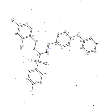 Cc1ccc(S(=O)(=O)N(CCc2ccc(Br)cc2Br)/N=C/c2ccc(Oc3ccccc3)cc2)cc1